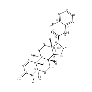 CN1C(=O)C=C[C@]2(C)[C@H]3CC[C@]4(C)[C@@H](C(=O)Nc5ccccc5F)CC[C@H]4[C@@H]3CC[C@@H]12